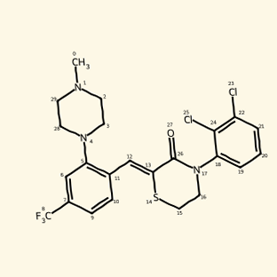 CN1CCN(c2cc(C(F)(F)F)ccc2C=C2SCCN(c3cccc(Cl)c3Cl)C2=O)CC1